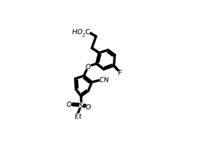 CCS(=O)(=O)c1ccc(Oc2cc(F)ccc2CCC(=O)O)c(C#N)c1